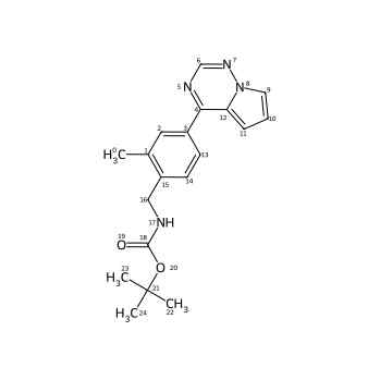 Cc1cc(-c2ncnn3cccc23)ccc1CNC(=O)OC(C)(C)C